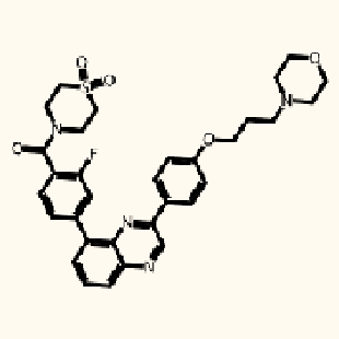 O=C(c1ccc(-c2cccc3ncc(-c4ccc(OCCCN5CCOCC5)cc4)nc23)cc1F)N1CCS(=O)(=O)CC1